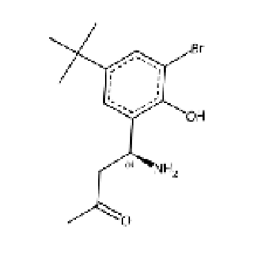 CC(=O)C[C@H](N)c1cc(C(C)(C)C)cc(Br)c1O